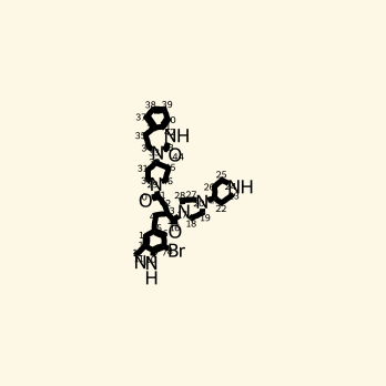 O=C(CC(Cc1cc(Br)c2[nH]ncc2c1)C(=O)N1CCN(C2CCNCC2)CC1)N1CCC(N2CCc3ccccc3NC2=O)CC1